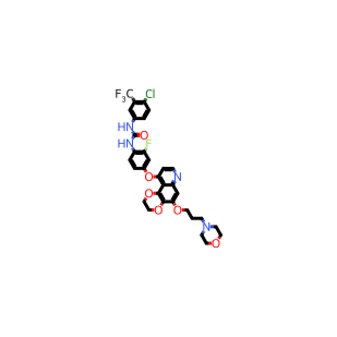 O=C(Nc1ccc(Cl)c(C(F)(F)F)c1)Nc1ccc(Oc2ccnc3cc(OCCCN4CCOCC4)c4c(c23)OCCO4)cc1F